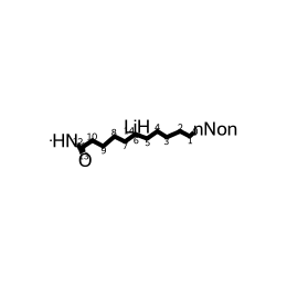 CCCCCCCCCCCCCCCCCCCC([NH])=O.[LiH]